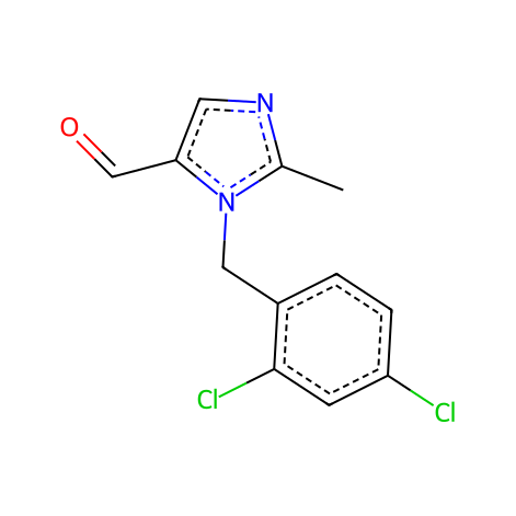 Cc1ncc(C=O)n1Cc1ccc(Cl)cc1Cl